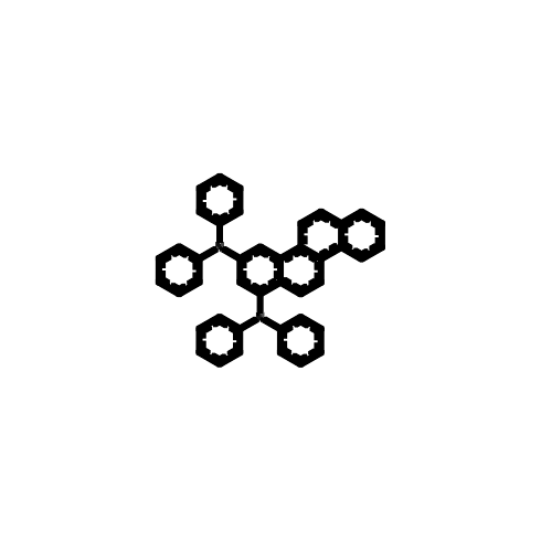 c1ccc(N(c2ccccc2)c2cc(N(c3ccccc3)c3ccccc3)c3ccc4c5ccccc5ccc4c3c2)cc1